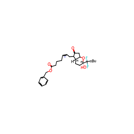 CCCCC(F)(F)[C@@]1(O)CC[C@H]2C(CC(=O)C2C/C=C\CCCC(=O)OCc2ccccc2)O1